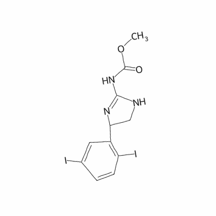 COC(=O)NC1=NC(c2cc(I)ccc2I)CN1